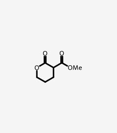 COC(=O)C1CCCOC1=O